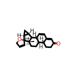 C[C@]12CC[C@H]3[C@@H](C=CC4=CC(=O)CC[C@@H]43)[C@@H]1[C@@H]1C[C@@H]1[C@@]21C=CCO1